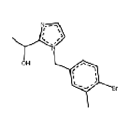 Cc1cc(Cn2ccnc2C(C)O)ccc1Br